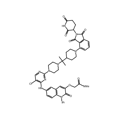 CNC(=O)COc1cc2cc(Nc3nc(N4CCN(C(C)(C)C5CCN(c6cccc7c6C(=O)N(C6CCC(=O)NC6=O)C7=O)CC5)CC4)ncc3Cl)ccc2n(C(C)C)c1=O